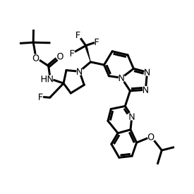 CC(C)Oc1cccc2ccc(-c3nnc4ccc([C@@H](N5CCC(CF)(NC(=O)OC(C)(C)C)C5)C(F)(F)F)cn34)nc12